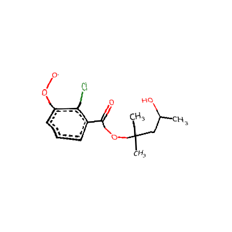 CC(O)CC(C)(C)OC(=O)c1cccc(O[O])c1Cl